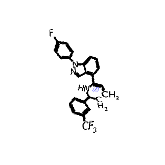 C/C=C(\NC(C)c1cccc(C(F)(F)F)c1)c1cccc2c1cnn2-c1ccc(F)cc1